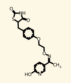 CC(=NOCCOc1ccc(CC2SC(=O)NC2=O)cc1)c1ccc(O)nc1